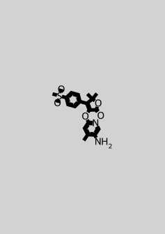 Cc1cc(OC2=C(c3ccc(S(C)(=O)=O)cc3)C(C)(C)OC2=O)ncc1N